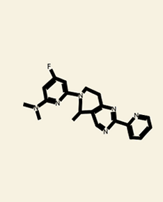 CC1c2cnc(-c3ccccn3)nc2CCN1c1cc(F)cc(N(C)C)n1